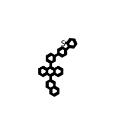 c1cc(-c2ccc3c(c2)sc2ccccc23)cc(-c2c3ccccc3c(-c3ccc4ccccc4c3)c3ccccc23)c1